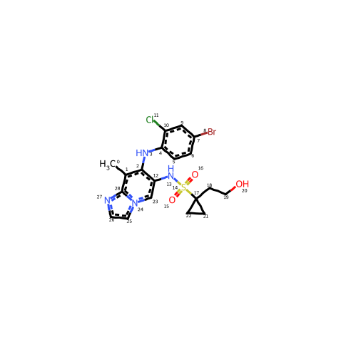 Cc1c(Nc2ccc(Br)cc2Cl)c(NS(=O)(=O)C2(CCO)CC2)cn2ccnc12